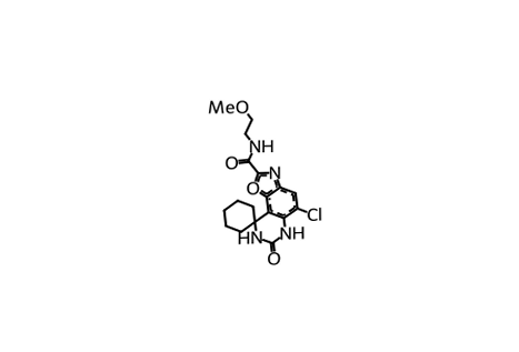 COCCNC(=O)c1nc2cc(Cl)c3c(c2o1)C1(CCCCC1)NC(=O)N3